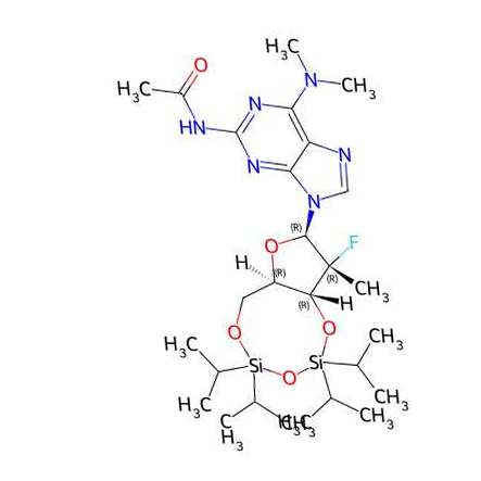 CC(=O)Nc1nc(N(C)C)c2ncn([C@@H]3O[C@@H]4CO[Si](C(C)C)(C(C)C)O[Si](C(C)C)(C(C)C)O[C@H]4[C@@]3(C)F)c2n1